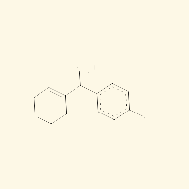 Cc1ccc(C(C(=O)O)C2=CCOCC2)cc1